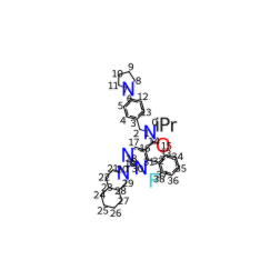 CC(C)N(Cc1ccc(N2CCCC2)cc1)C(=O)c1cnc(N2CCC3CCCCC3C2)nc1-c1ccccc1F